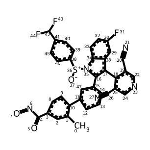 Cc1cc(C(=O)N=O)ccc1-c1cccc(-c2c(-c3c(C#N)cncc3C#N)c3cc(F)ccc3n2[S+]([O-])c2ccc(C(F)F)cc2)c1